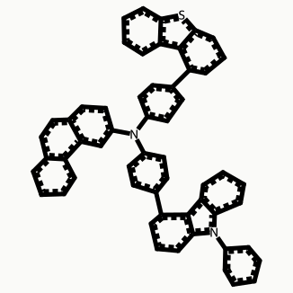 c1ccc(-n2c3ccccc3c3c(-c4ccc(N(c5ccc(-c6cccc7sc8ccccc8c67)cc5)c5ccc6ccc7ccccc7c6c5)cc4)cccc32)cc1